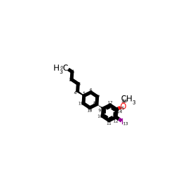 CCCCC[C@H]1CC[C@H](c2ccc(I)c(OC)c2)CC1